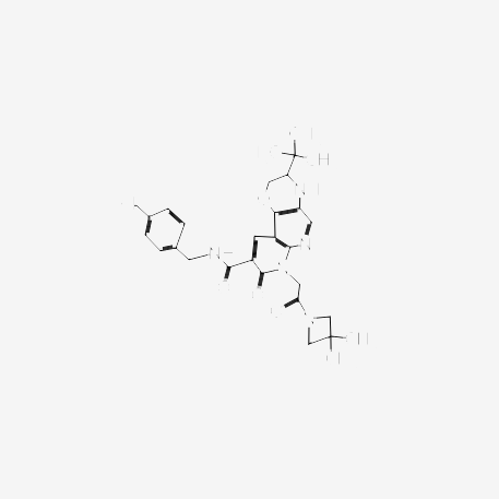 CC1(C)CN(C(=O)Cn2c(=O)c(C(=O)NCc3ccc(Cl)cc3)cc3c4c(cnc32)NC(C(C)(C)C)CO4)C1